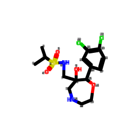 CC(C)S(=O)(=O)NCC1(O)CNCCOC1c1ccc(Cl)c(Cl)c1